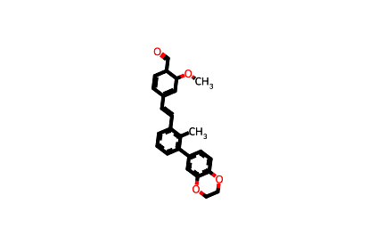 COC1C=C(/C=C/c2cccc(-c3ccc4c(c3)OCCO4)c2C)C=CC1C=O